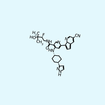 CC(C)(O)[C@H](F)CNC(=O)c1cnc(C2=CC=C3C=C(C#N)C=NC32)cc1N[C@H]1CC[C@H](c2cc[nH]n2)CC1